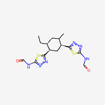 CCC1CC(C)[C@@H](c2nnc(NC=O)s2)C[C@H]1c1nnc(NC=O)s1